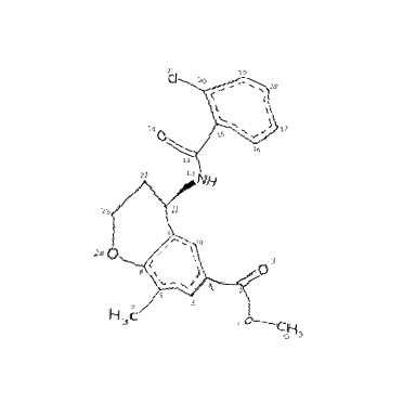 COC(=O)c1cc(C)c2c(c1)[C@H](NC(=O)c1ccccc1Cl)CCO2